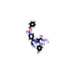 N#CC[C@@H](C1CCN(C(=O)OCc2ccccc2)CC1)n1cc(C(N)=O)c(Nc2ccc(F)cc2)n1